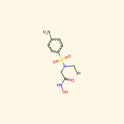 CC(C)CN(CC(=O)NO)S(=O)(=O)c1ccc([N+](=O)[O-])cc1